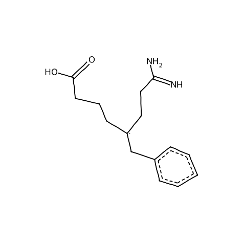 N=C(N)CC[C](CCCC(=O)O)Cc1ccccc1